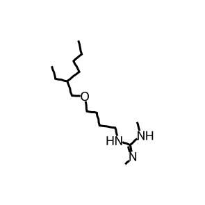 CCCCC(CC)COCCCCN/C(=N\C)NC